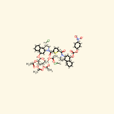 CC(=O)OC[C@H]1OC(Oc2cc3c(c4ccccc24)[C@H](CCl)CN3C(=O)c2ccc(C(=O)N3C[C@@H](CCl)c4c3cc(OC(=O)Oc3ccc([N+](=O)[O-])cc3)c3ccccc43)s2)[C@H](OC(C)=O)[C@@H](OC(C)=O)[C@H]1OC(C)=O